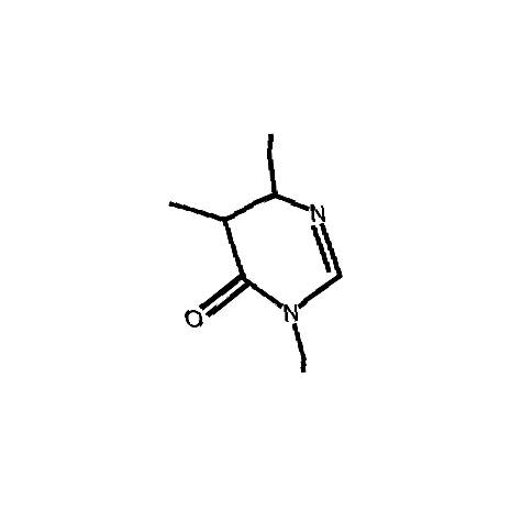 CC1N=CN(C)C(=O)C1C